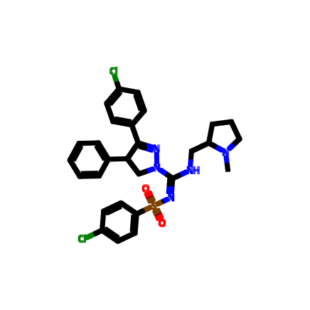 CN1CCCC1CN/C(=N/S(=O)(=O)c1ccc(Cl)cc1)N1CC(c2ccccc2)C(c2ccc(Cl)cc2)=N1